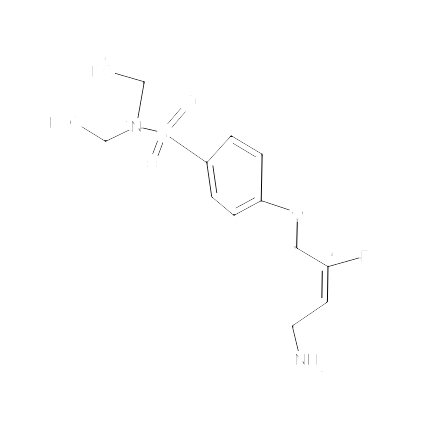 CCN(CC)S(=O)(=O)c1ccc(OC/C(F)=C\CN)cc1